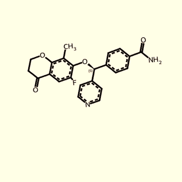 Cc1c(O[C@H](c2ccncc2)c2ccc(C(N)=O)cc2)c(F)cc2c1OCCC2=O